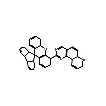 C1=CCC2OC3=C(C=CCC3c3ncc4c(n3)C3C=CCNC3C=C4)C3(C2=C1)C1CCC=CC1C1C=CCCC13